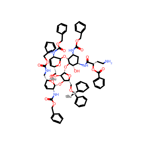 CCCCOC[C@@H]1C=C[C@@H](NC(=O)OCc2ccccc2)[C@@H](O[C@H]2[C@H](O[C@@H]3O[C@H](CO[Si](c4ccccc4)(c4ccccc4)C(C)(C)C)[C@@H](O[C@H]4O[C@@H](CNC(=O)OCc5ccccc5)C=C[C@H]4NC(=O)OCc4ccccc4)[C@H]3O)[C@@H](O)[C@H](NC(=O)[C@H](CCN)OC(=O)c3ccccc3)C[C@@H]2NC(=O)OCc2ccccc2)O1